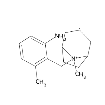 Cc1cccc(N)c1C[N+]1(C)C2C[CH]CC1CC2